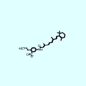 CC1=C(/C=C/C(C)=C/C=C/C(C)=C/C(=O)Nc2ccc(CCO)c([N+](=O)[O-])c2)C(C)(C)CCC1